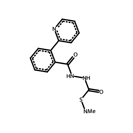 CNSC(=O)NNC(=O)c1ccccc1-c1ccccn1